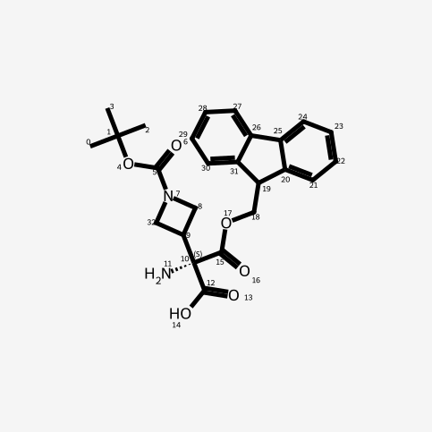 CC(C)(C)OC(=O)N1CC([C@](N)(C(=O)O)C(=O)OCC2c3ccccc3-c3ccccc32)C1